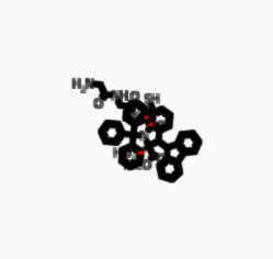 COC(=O)[C@@](C(=O)O)(C(c1ccccc1)C1c2ccccc2-c2ccccc21)N(C(=O)C(CS)NC(=O)CNC(=O)CN)C(c1ccccc1)(c1ccccc1)c1ccccc1